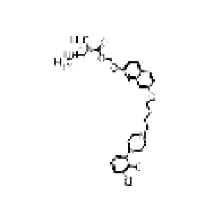 CNCN(C)C(=O)OCOc1ccc2ccc(OCCCCN3CCN(c4cccc(Cl)c4Cl)CC3)cc2n1